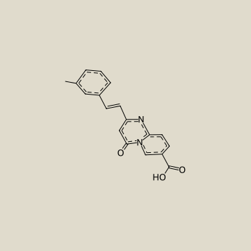 Cc1cccc(/C=C/c2cc(=O)n3cc(C(=O)O)ccc3n2)c1